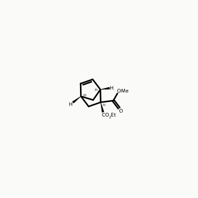 CCOC(=O)[C@@]1(C(=O)OC)C[C@@H]2C=C[C@H]1C2